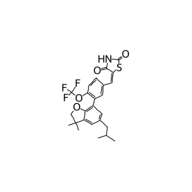 CC(C)Cc1cc(-c2cc(/C=C3/SC(=O)NC3=O)ccc2OC(F)(F)F)c2c(c1)C(C)(C)CO2